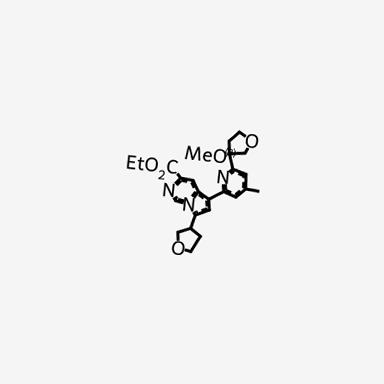 CCOC(=O)c1cc2c(-c3cc(C)cc([C@]4(OC)CCOC4)n3)cc(C3CCOC3)n2cn1